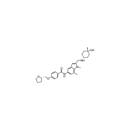 Cc1cc(NC(=O)c2ccc(OC[C@@H]3CCCO3)cc2)cc2cc(CN[C@H]3CC[C@@](C)(O)CC3)n(C)c12